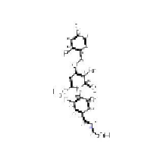 Cc1cc(OCc2ccc(F)cc2F)c(Br)c(=O)n1-c1c(F)cc(/C=C/CO)cc1F